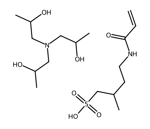 C=CC(=O)NCCC(C)CS(=O)(=O)O.CC(O)CN(CC(C)O)CC(C)O